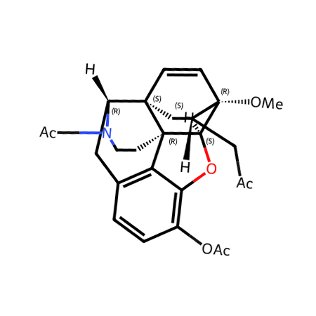 CO[C@@]12C=C[C@]3(C[C@H]1CC(C)=O)[C@H]1Cc4ccc(OC(C)=O)c5c4[C@]3(CCN1C(C)=O)[C@@H]2O5